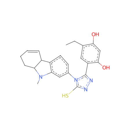 CCc1cc(-c2nnc(S)n2-c2ccc3c(c2)N(C)C2CCC=CC32)c(O)cc1O